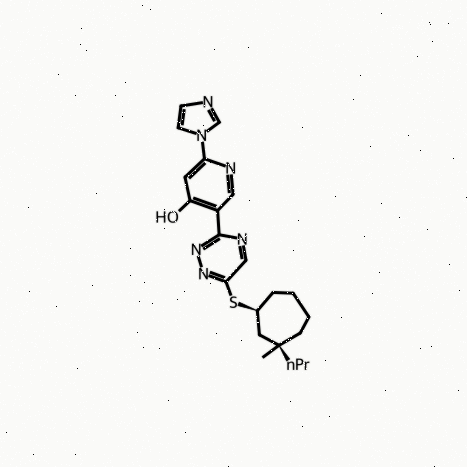 CCC[C@]1(C)CCCC[C@H](Sc2cnc(-c3cnc(-n4ccnc4)cc3O)nn2)C1